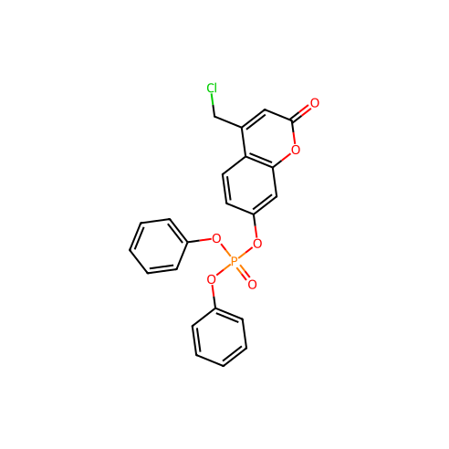 O=c1cc(CCl)c2ccc(OP(=O)(Oc3ccccc3)Oc3ccccc3)cc2o1